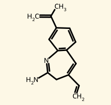 C=CC1=Cc2ccc(C(=C)C)cc2N=C(N)C1